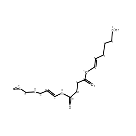 CCCCCCCCCCCCCC=COC(=O)CCC(=O)OC=CCCCCCCCCCCCCC